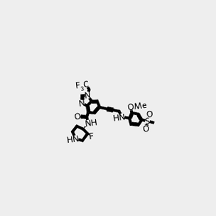 COc1cc(S(C)(=O)=O)ccc1NCC#Cc1cc(C(=O)N[C@H]2CCNC[C@@H]2F)c2ncn(CC(F)(F)F)c2c1